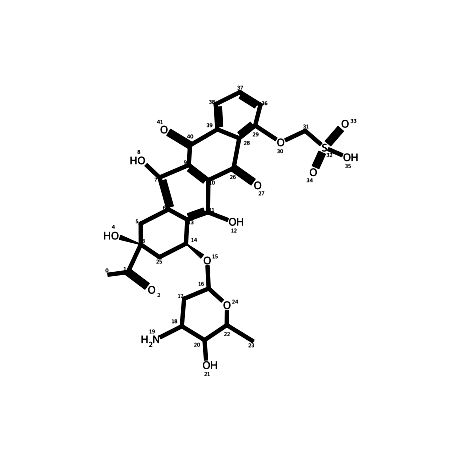 CC(=O)[C@]1(O)Cc2c(O)c3c(c(O)c2[C@@H](OC2CC(N)C(O)C(C)O2)C1)C(=O)c1c(OCS(=O)(=O)O)cccc1C3=O